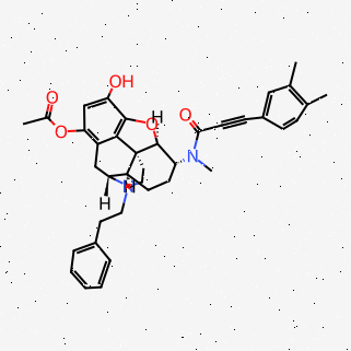 CC(=O)Oc1cc(O)c2c3c1C[C@@H]1[C@@H]4CC[C@@H](N(C)C(=O)C#Cc5ccc(C)c(C)c5)[C@H](O2)[C@]34CCN1CCc1ccccc1